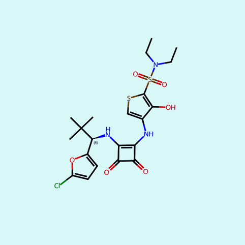 CCN(CC)S(=O)(=O)c1scc(Nc2c(N[C@@H](c3ccc(Cl)o3)C(C)(C)C)c(=O)c2=O)c1O